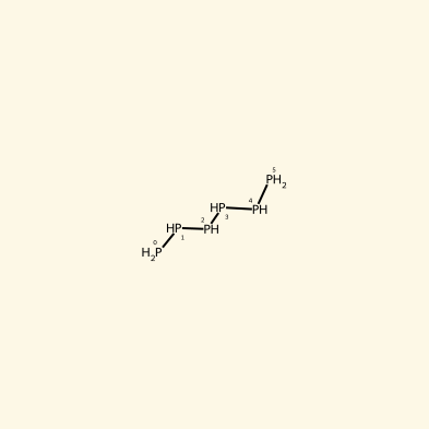 PPPPPP